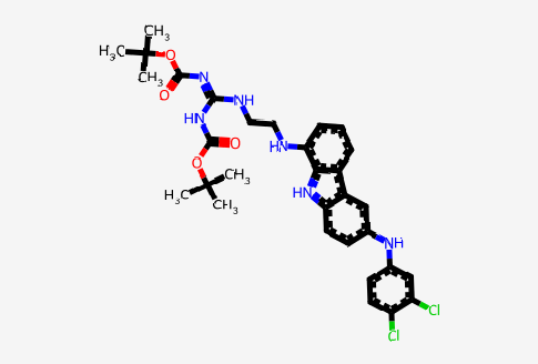 CC(C)(C)OC(=O)/N=C(/NCCNc1cccc2c1[nH]c1ccc(Nc3ccc(Cl)c(Cl)c3)cc12)NC(=O)OC(C)(C)C